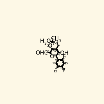 CC1(C)OCC(=C(O)Cc2cc(F)c(F)cc2F)C(C(=O)C=O)O1